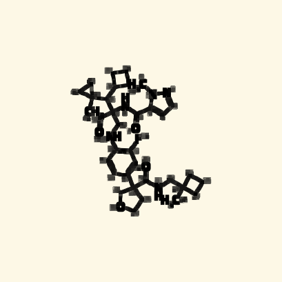 Cn1nccc1C(=O)NC(C=O)(CNc1ccc(C2(C(=O)NCC3(C)CCC3)CCOC2)cc1F)C(C1CCC1)C1(C)CC1